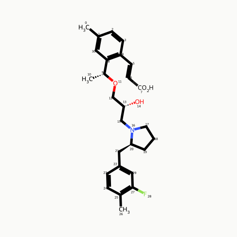 Cc1ccc(C=CC(=O)O)c([C@@H](C)OC[C@H](O)CN2CCC[C@H]2Cc2ccc(C)c(F)c2)c1